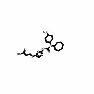 CC1CCC(N(C(=O)Nc2ncc(SCCC(=O)O)s2)C2CCCCCC2)CC1